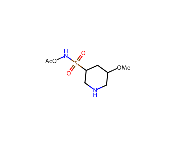 COC1CNCC(S(=O)(=O)NOC(C)=O)C1